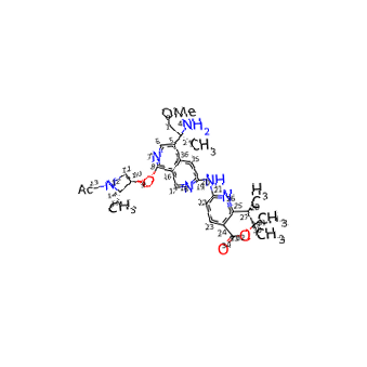 COC[C@@](C)(N)c1cnc(O[C@@H]2CN(C(C)=O)[C@H]2C)c2cnc(Nc3ccc4c(n3)[C@@H](C)C(C)(C)OC4=O)cc12